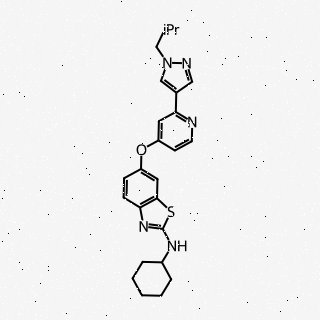 CC(C)Cn1cc(-c2cc(Oc3ccc4nc(NC5CCCCC5)sc4c3)ccn2)cn1